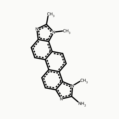 Cc1nc2ccc3c4ccc5nc(N)n(C)c5c4ccc3c2n1C